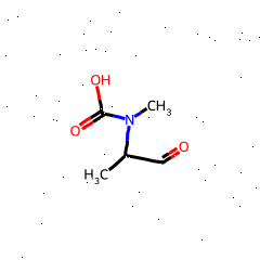 CC(C=O)N(C)C(=O)O